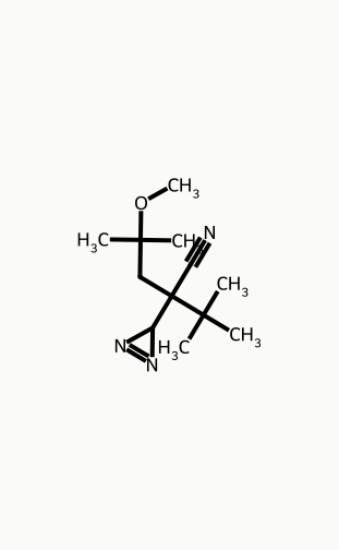 COC(C)(C)CC(C#N)(C1N=N1)C(C)(C)C